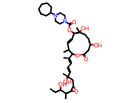 CCC(O)C(C)C1OC1CC(C)(O)/C=C/C=C(\C)C1OC(=O)CC(O)CCC(C)(O)C(OC(=O)N2CCN(C3CCCCCC3)CC2)/C=C/C1C